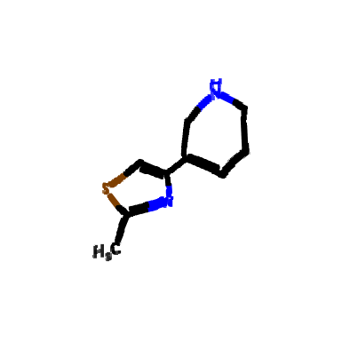 Cc1nc(C2=CCCNC2)cs1